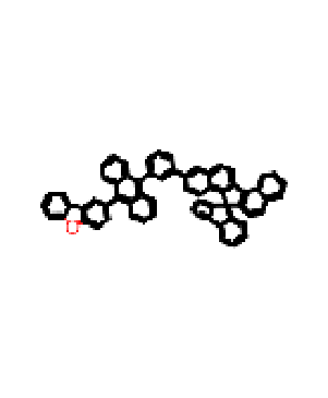 c1cc(-c2ccc3c4c(ccc3c2)-c2c(ccc3ccccc23)C42c3ccccc3-c3ccccc32)cc(-c2c3ccccc3c(-c3ccc4oc5ccccc5c4c3)c3ccccc23)c1